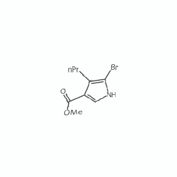 CCCc1c(C(=O)OC)c[nH]c1Br